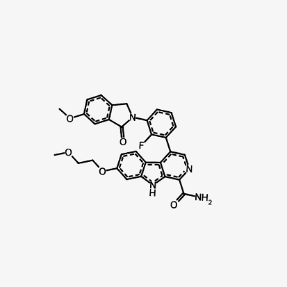 COCCOc1ccc2c(c1)[nH]c1c(C(N)=O)ncc(-c3cccc(N4Cc5ccc(OC)cc5C4=O)c3F)c12